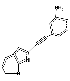 Nc1cccc(C#Cc2cc3cccnc3[nH]2)c1